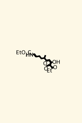 CCOC(=O)N/C=C/CCC(C)c1cc(O)c(C(=O)CC)c(=O)o1